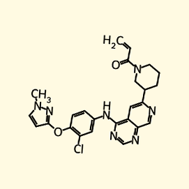 C=CC(=O)N1CCCC(c2cc3c(Nc4ccc(Oc5ccn(C)n5)c(Cl)c4)ncnc3cn2)C1